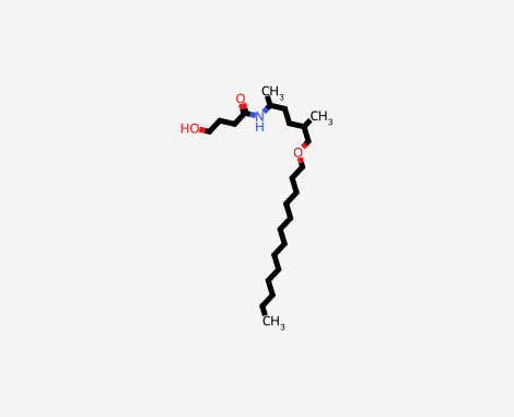 CCCCCCCCCCCCCOCC(C)CCC(C)NC(=O)CCCO